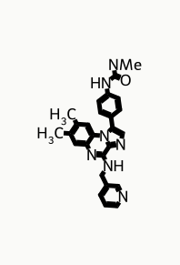 CNC(=O)Nc1ccc(-c2cnc3c(NCc4cccnc4)nc4cc(C)c(C)cc4n23)cc1